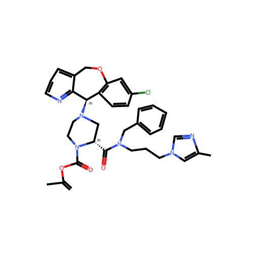 C=C(C)OC(=O)N1CCN([C@@H]2c3ccc(Cl)cc3OCc3cccnc32)C[C@@H]1C(=O)N(CCCn1cnc(C)c1)Cc1ccccc1